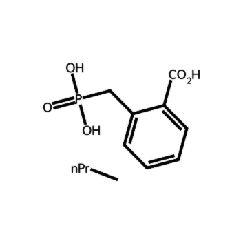 CCCC.O=C(O)c1ccccc1CP(=O)(O)O